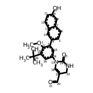 COc1c(-c2ccc3cc(O)ccc3c2)cc(N2C=C(C=O)CNC2=O)cc1C(C)(C)C